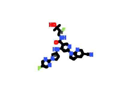 CC(C)(O)[C@H](F)CNC(=O)c1cnc(-n2ccc3cc(C#N)cnc32)cc1N[C@@H]1CCN(c2ncc(F)cn2)C1